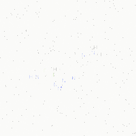 Cc1cc(-c2ccc(N(C)C)nc2)cnc1N1C=NN(CC(CN)=C(F)F)C1